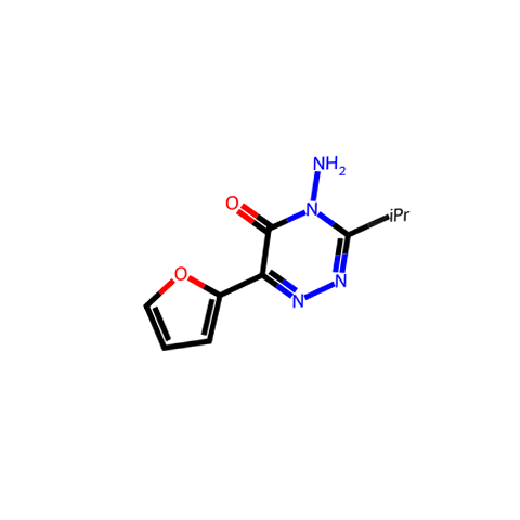 CC(C)c1nnc(-c2ccco2)c(=O)n1N